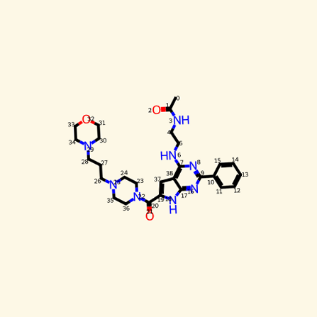 CC(=O)NCCNc1nc(-c2ccccc2)nc2[nH]c(C(=O)N3CCN(CCCN4CCOCC4)CC3)cc12